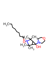 CCCCCCCCON1C(C)(C)C2C(C1(C)C)C2(O)N1CCOCC1